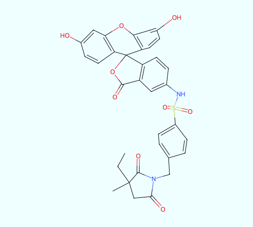 CCC1(C)CC(=O)N(Cc2ccc(S(=O)(=O)Nc3ccc4c(c3)C(=O)OC43c4ccc(O)cc4Oc4cc(O)ccc43)cc2)C1=O